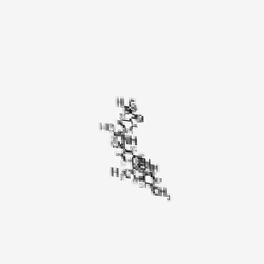 CCS(=O)(=O)c1ccc([C@H](CO)NC(=O)c2ccc(N3C(C)Cc4cc(C)ccc4S3(O)O)c(F)c2)cc1